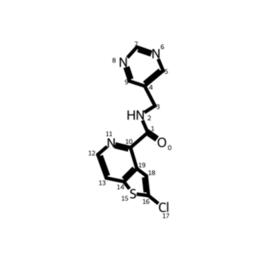 O=C(NCc1cncnc1)c1nccc2sc(Cl)cc12